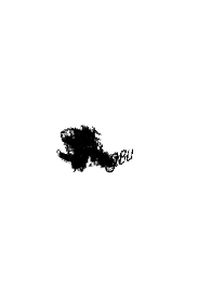 CC#Cc1cnn2cc(-c3nnn(C4CCN(C(=O)OC(C)(C)C)CC4)c3C)cc(OC(CO)c3ccc(F)cn3)c12